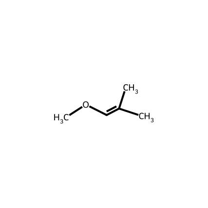 COC=C(C)C